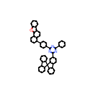 c1ccc(-c2nc(-c3ccc(-c4cccc5c4ccc4c6ccccc6oc54)cc3)nc(-c3ccc4c(c3)C3(c5ccccc5-c5ccccc53)c3ccccc3-4)n2)cc1